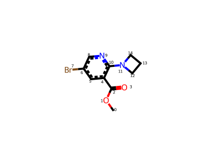 COC(=O)c1cc(Br)cnc1N1CCC1